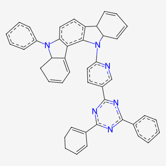 C1=CCC2C(=C1)c1c(ccc3c1N(c1ccc(-c4nc(C5=CCCC=C5)nc(-c5ccccc5)n4)cn1)C1C=CC=CC31)N2c1ccccc1